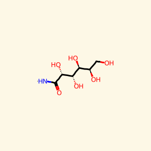 [NH]C(=O)[C@H](O)[C@@H](O)[C@@H](O)[C@H](O)CO